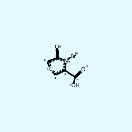 O=C(O)c1cccc(=O)n1Br